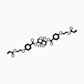 C=CC(=O)OCCOc1ccc(C(=O)O[C@H]2CO[C@H]3[C@@H]2OC[C@H]3OC(=O)c2ccc(OCCOC(=O)C=C)cc2)cc1